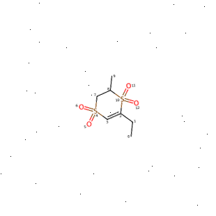 CCC1=CS(=O)(=O)CC(C)S1(=O)=O